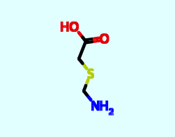 NCSCC(=O)O